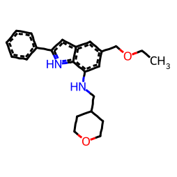 CCOCc1cc(NCC2CCOCC2)c2[nH]c(-c3ccccc3)cc2c1